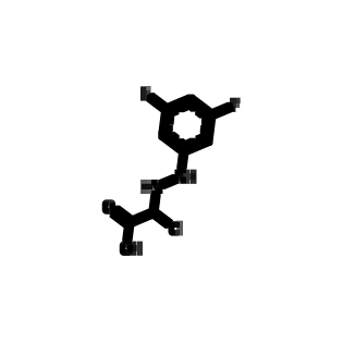 O=C(O)C(Cl)NNc1cc(F)cc(F)c1